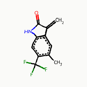 C=C1C(=O)Nc2cc(C(F)(F)F)c(C)cc21